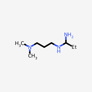 CCC(N)NCCCN(C)C